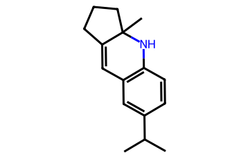 CC(C)c1ccc2c(c1)C=C1CCCC1(C)N2